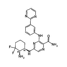 NC(=O)c1ncc(N[C@@H]2CCCC(F)(F)[C@@H]2N)nc1Nc1cccc(-c2ncccn2)c1